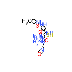 CC1CC=C(NC(=O)NC2C=CC(C(NS)C(CN(N)C(=O)N(N)CCCN3CCOCC3)C(N)=O)=CC2)CC1